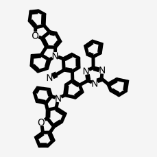 N#Cc1c(-c2cc(-n3c4ccccc4c4c5oc6ccccc6c5ccc43)ccc2-c2nc(-c3ccccc3)nc(-c3ccccc3)n2)cccc1-n1c2ccccc2c2c3oc4ccccc4c3ccc21